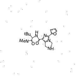 CNC(=O)C(NC(=O)c1nc(-c2ccco2)n2c1CNCC2)C(C)(C)C